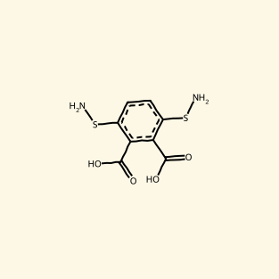 NSc1ccc(SN)c(C(=O)O)c1C(=O)O